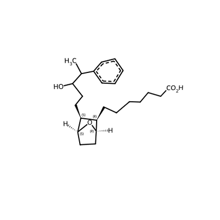 CC(c1ccccc1)C(O)CC[C@H]1[C@@H](CCCCCCC(=O)O)[C@H]2CC[C@@H]1O2